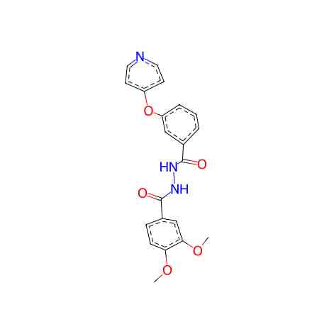 COc1ccc(C(=O)NNC(=O)c2cccc(Oc3ccncc3)c2)cc1OC